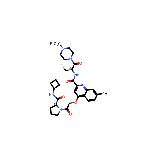 CCOC(=O)N1CCN(C(=O)[C@H](CF)NC(=O)c2cc(OCC(=O)N3CCC[C@H]3C(=O)NC3CCC3)c3ccc(C)cc3n2)CC1